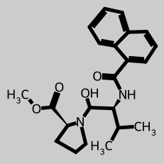 COC(=O)[C@@H]1CCCN1C(O)[C@@H](NC(=O)c1cccc2ccccc12)C(C)C